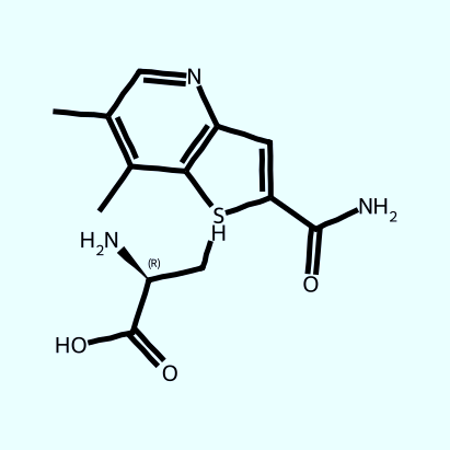 Cc1cnc2c(c1C)[SH](C[C@H](N)C(=O)O)C(C(N)=O)=C2